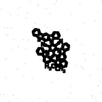 CC1(C)c2ccccc2-c2cc(-c3c(-n4c5ccccc5c5ccccc54)c(C#N)c(-n4c5ccccc5c5cc6c(cc54)sc4ccccc46)c(C#N)c3-n3c4ccccc4c4ccccc43)ccc21